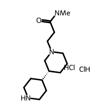 CNC(=O)CCN1CCC[C@H](C2CCNCC2)C1.Cl.Cl